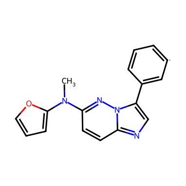 CN(c1ccc2ncc(-c3c[c]ccc3)n2n1)c1ccco1